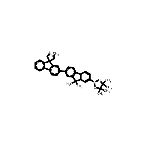 CCC1(CC)c2ccccc2-c2ccc(-c3ccc4c(c3)C(C)(C)C3C=C(B5OC(C)(C)C(C)(C)O5)C=CC43)cc21